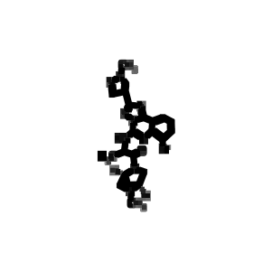 CC(Nc1nc2c(Br)cccc2c2nc(-c3cnn(C)c3)nn12)C(=O)N1C[C@@H]2C[C@H]1CN2C